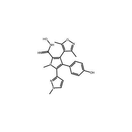 Cc1noc(C)c1-c1c(-c2ccc(O)cc2)c(-c2ccn(C)n2)n(C)c1C(=N)NO